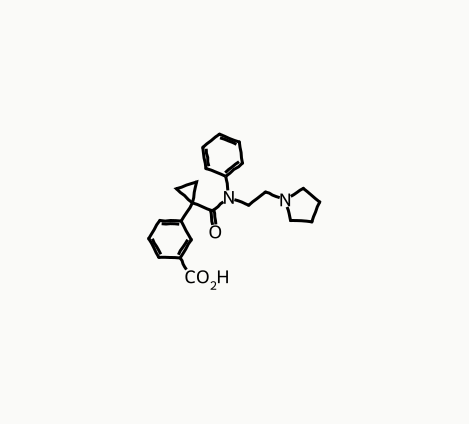 O=C(O)c1cccc(C2(C(=O)N(CCN3CCCC3)c3ccccc3)CC2)c1